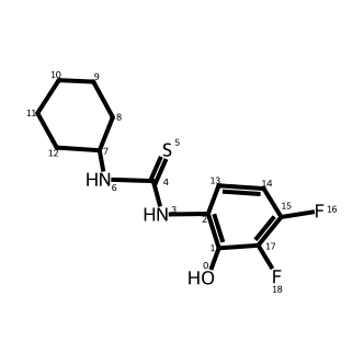 Oc1c(NC(=S)NC2CCCCC2)ccc(F)c1F